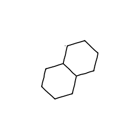 [CH]1CCCC2CCCCC12